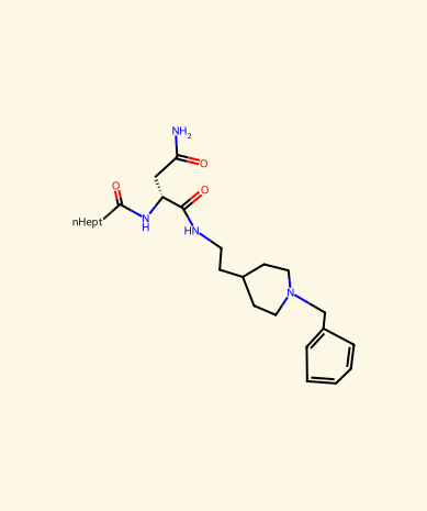 CCCCCCCC(=O)N[C@H](CC(N)=O)C(=O)NCCC1CCN(Cc2ccccc2)CC1